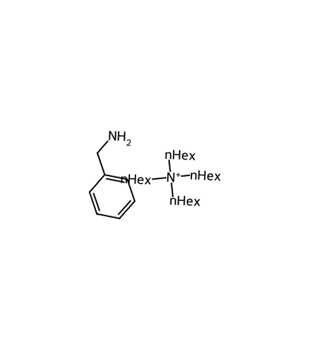 CCCCCC[N+](CCCCCC)(CCCCCC)CCCCCC.NCc1ccccc1